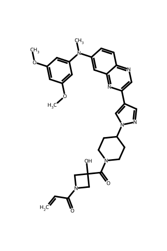 C=CC(=O)N1CC(O)(C(=O)N2CCC(n3cc(-c4cnc5ccc(N(C)c6cc(OC)cc(OC)c6)cc5n4)cn3)CC2)C1